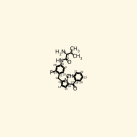 CC(C)[C@H](N)C(=O)Nc1ccc(Cc2ccc(C(=O)c3ccccc3)n2C)c(F)c1